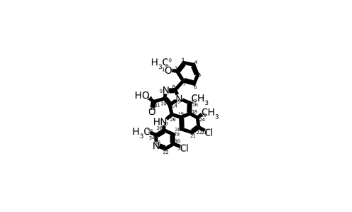 COc1ccccc1-c1nc(C(=O)O)c2n1C(C)=C1C(=CC=C(Cl)C1C)C2Nc1cc(Cl)cnc1C